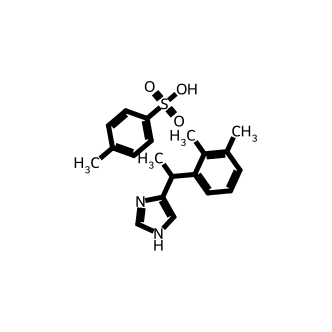 Cc1ccc(S(=O)(=O)O)cc1.Cc1cccc(C(C)c2c[nH]cn2)c1C